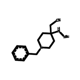 CCCCNC1(CC#N)CCN(Cc2ccccc2)CC1